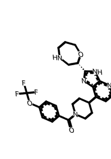 O=C(c1ccc(OC(F)(F)F)cc1)N1CCC(c2ccnc3[nH]c([C@@H]4CNCCCO4)nc23)CC1